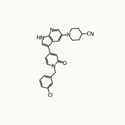 N#CC1CCN(c2cnc3[nH]cc(-c4ccn(Cc5cccc(Cl)c5)c(=O)c4)c3c2)CC1